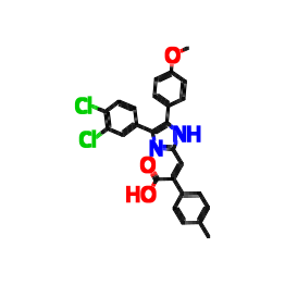 COc1ccc(-c2[nH]c(C=C(C(=O)O)c3ccc(C)cc3)nc2-c2ccc(Cl)c(Cl)c2)cc1